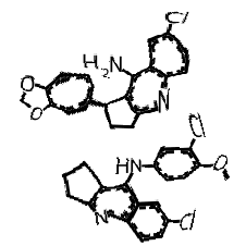 COc1ccc(Nc2c3c(nc4ccc(Cl)cc24)CCC3)cc1Cl.Nc1c2c(nc3ccc(Cl)cc13)CCC2c1ccc2c(c1)OCO2